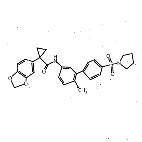 Cc1ccc(NC(=O)C2(c3ccc4c(c3)OCO4)CC2)cc1-c1ccc(S(=O)(=O)N2CCCC2)cc1